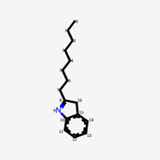 CCCCCCCCC1=Nc2ccccc2C1